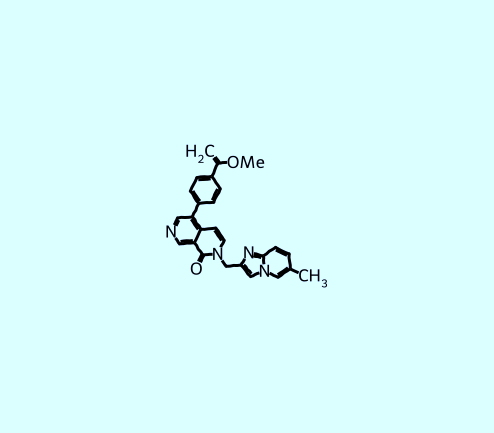 C=C(OC)c1ccc(-c2cncc3c(=O)n(Cc4cn5cc(C)ccc5n4)ccc23)cc1